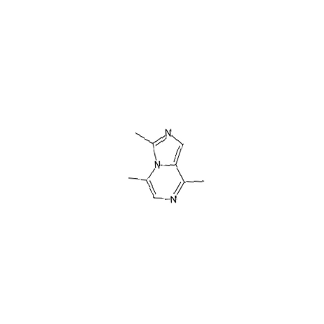 Cc1ncc(C)n2c(C)ncc12